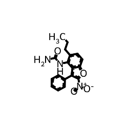 CCCc1ccc2oc([N+](=O)[O-])c(-c3ccccc3)c2c1NC(N)=O